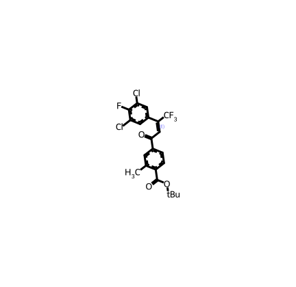 Cc1cc(C(=O)/C=C(\c2cc(Cl)c(F)c(Cl)c2)C(F)(F)F)ccc1C(=O)OC(C)(C)C